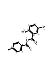 Cc1ccc(C(=O)OC(=O)c2cc(Br)ccc2O)cc1